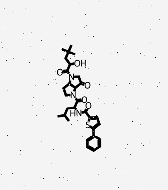 CC(C)CC(NC(=O)c1ccc(-c2ccccc2)s1)C(=O)N1CCC2C1C(=O)CN2C(=O)C(O)CC(C)(C)C